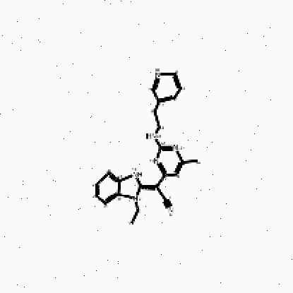 CCN1/C(=C(\C#N)c2cc(C)nc(NCCc3cccnc3)n2)Nc2ccccc21